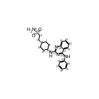 NS(=O)(=O)CC[C@H]1CC[C@H](Nc2nc(Nc3ccccc3)c3ccccc3n2)CC1